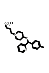 CCOC(=O)CCCN1CCC(OC(c2ccc(C)cc2)c2ccccn2)CC1